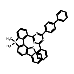 CS1(C)c2cccc(-c3nc(-c4ccccc4)nc(-c4ccc(-c5ccccc5)cc4)n3)c2-c2c1ccc1c2oc2ccccc21